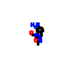 CC1=NN(Cc2ccc(N)cc2)C(NC=O)O1